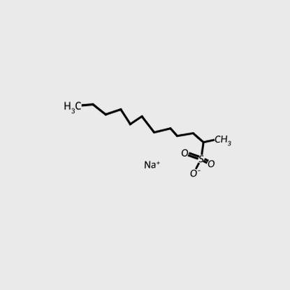 CCCCCCCCCCC(C)S(=O)(=O)[O-].[Na+]